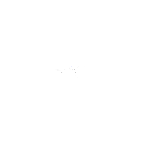 C=C/C=C(\CF)OCC